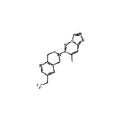 Cc1cc2nncn2nc1N1CCc2ncc(CC(F)(F)F)cc2C1